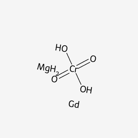 [Gd].[MgH2].[O]=[Cr](=[O])([OH])[OH]